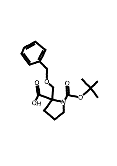 CC(C)(C)OC(=O)N1CCCC1(COCc1ccccc1)C(=O)O